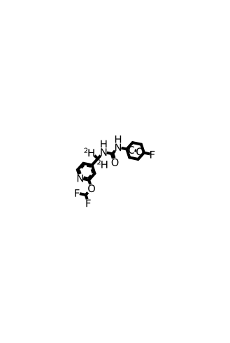 [2H]C([2H])(NC(=O)NC12CCC(F)(CC1)CC2)c1ccnc(OC(F)F)c1